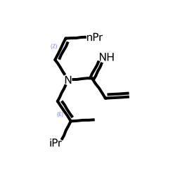 C=CC(=N)N(/C=C\CCC)/C=C(\C)C(C)C